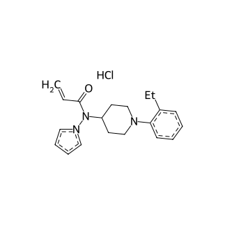 C=CC(=O)N(C1CCN(c2ccccc2CC)CC1)n1cccc1.Cl